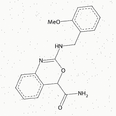 COc1ccccc1CNC1=Nc2cc[c]cc2C(C(N)=O)O1